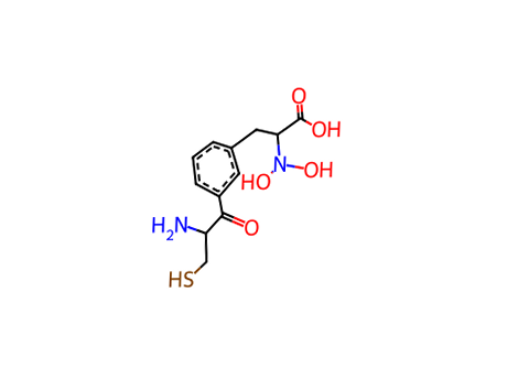 NC(CS)C(=O)c1cccc(CC(C(=O)O)N(O)O)c1